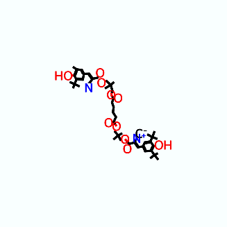 [C-]#[N+]C(=Cc1cc(C(C)(C)C)c(O)c(C(C)(C)C)c1)C(=O)OCC(C)(C)COC(=O)CCCCC(=O)OCC(C)(C)COC(=O)C(C#N)=Cc1cc(C)c(O)c(C(C)(C)C)c1